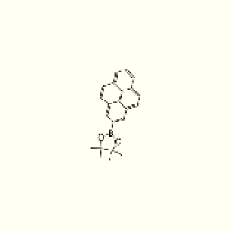 CC1(C)OB(c2cc3ccc4cccc5ccc(c2)c3c45)OC1(C)C